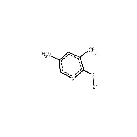 CCOc1ncc(N)cc1C(F)(F)F